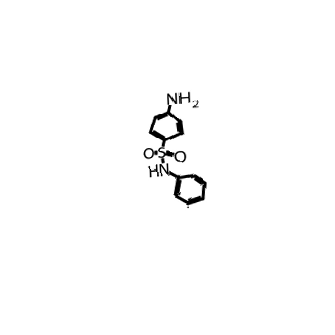 Nc1ccc(S(=O)(=O)Nc2c[c]ccc2)cc1